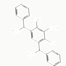 CC(c1ccccc1)c1cc(C(C)c2ccccc2)c(O)c(S(=O)(=O)O)c1O